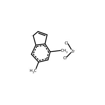 Cc1cc(C)c2c(c1)[CH]C=C2.[Cl][Zr][Cl]